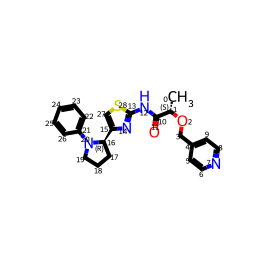 C[C@H](OCc1ccncc1)C(=O)Nc1nc([C@H]2CCCN2c2ccccc2)cs1